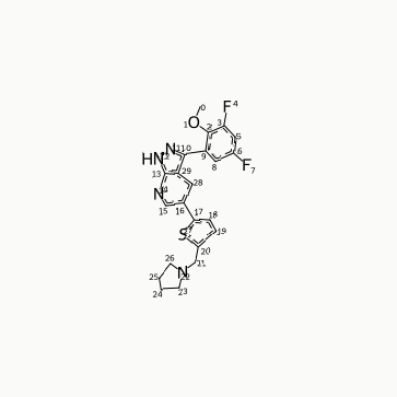 COc1c(F)cc(F)cc1-c1n[nH]c2ncc(-c3ccc(CN4CCCC4)s3)cc12